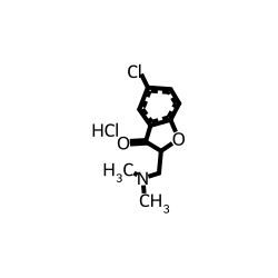 CN(C)CC1Oc2ccc(Cl)cc2C1=O.Cl